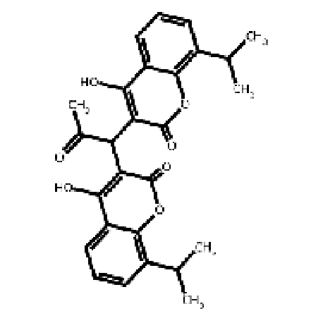 CC(=O)C(c1c(O)c2cccc(C(C)C)c2oc1=O)c1c(O)c2cccc(C(C)C)c2oc1=O